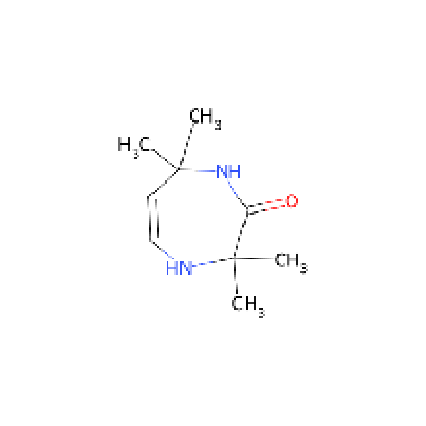 CC1(C)C=CNC(C)(C)C(=O)N1